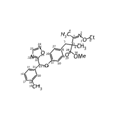 CCO/N=C(/C)C(C)(Cc1ccc(OC(c2cccc(C)c2)c2ncno2)cc1)C(=O)OC